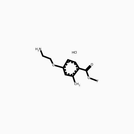 Cc1cc(OCCN)ccc1C(=O)OF.Cl